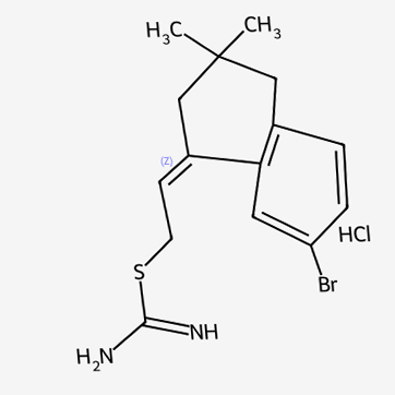 CC1(C)C/C(=C/CSC(=N)N)c2cc(Br)ccc2C1.Cl